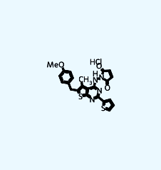 COc1ccc(Cc2sc3nc(-c4cccs4)nc(NN4C(=O)C=CC4=O)c3c2C)cc1.Cl